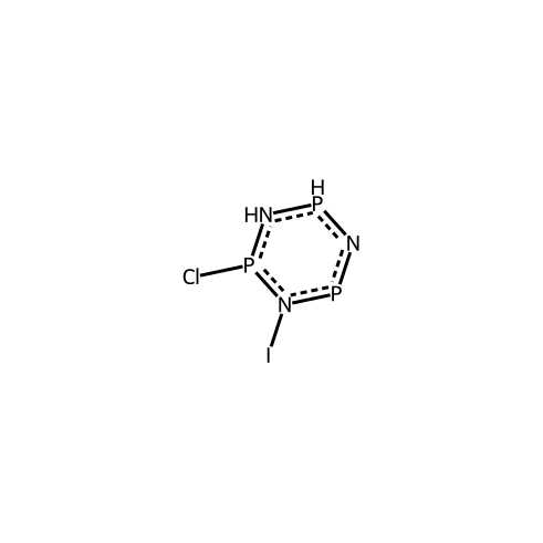 Clp1[nH][pH]npn1I